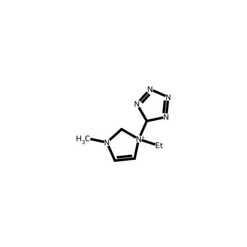 CC[N+]1(C2N=NN=N2)C=CN(C)C1